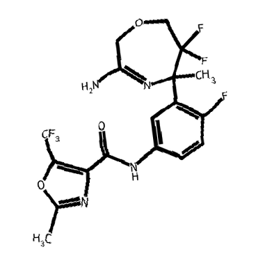 Cc1nc(C(=O)Nc2ccc(F)c(C3(C)N=C(N)COCC3(F)F)c2)c(C(F)(F)F)o1